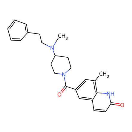 Cc1cc(C(=O)N2CCC(N(C)CCc3ccccc3)CC2)cc2ccc(=O)[nH]c12